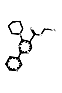 CCOC(=O)c1cnc(-c2cccnc2)nc1N1CCCCC1